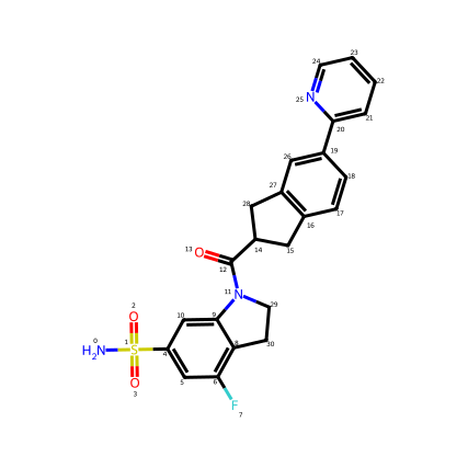 NS(=O)(=O)c1cc(F)c2c(c1)N(C(=O)C1Cc3ccc(-c4ccccn4)cc3C1)CC2